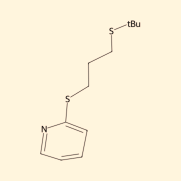 CC(C)(C)SCCCSc1ccccn1